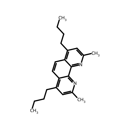 CCCCc1cc(C)nc2c1ccc1c(CCCC)cc(C)nc12